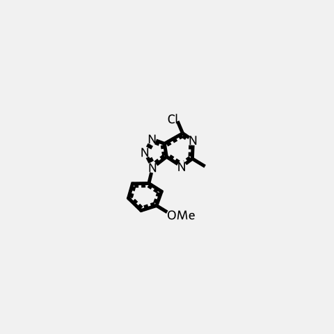 COc1cccc(-n2nnc3c(Cl)nc(C)nc32)c1